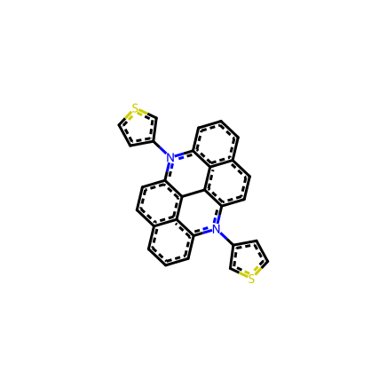 c1cc2ccc3c4c2c(c1)n(-c1ccsc1)c1ccc2cccc(c2c1-4)n3-c1ccsc1